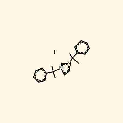 CC(C)(c1ccccc1)n1cc[n+](C(C)(C)c2ccccc2)c1.[I-]